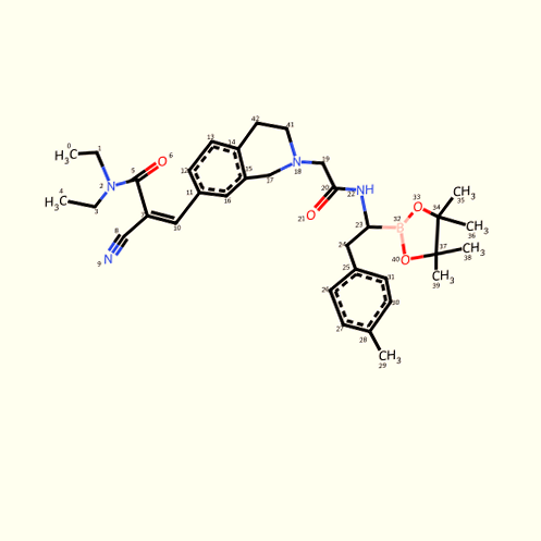 CCN(CC)C(=O)C(C#N)=Cc1ccc2c(c1)CN(CC(=O)NC(Cc1ccc(C)cc1)B1OC(C)(C)C(C)(C)O1)CC2